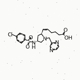 O=C(O)CCC/C=C\[C@@H]1C[C@@H](NS(=O)(=O)c2ccc(Cl)cc2)CN1Cc1cnccn1